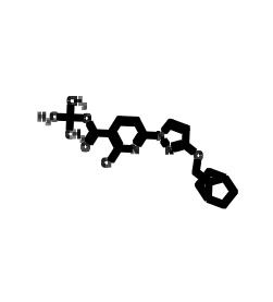 CC(C)(C)OC(=O)c1ccc(-n2ccc(OCC3C4CCC3CC4)n2)nc1Cl